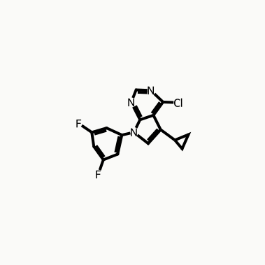 Fc1cc(F)cc(-n2cc(C3CC3)c3c(Cl)ncnc32)c1